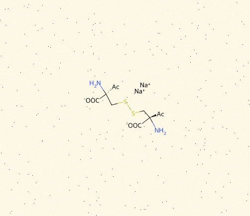 CC(=O)[C@](N)(CSSC[C@@](N)(C(C)=O)C(=O)[O-])C(=O)[O-].[Na+].[Na+]